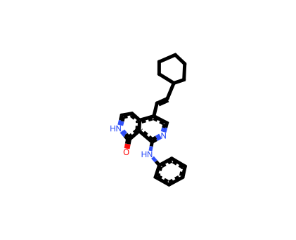 O=c1[nH]ccc2c(C=CC3CCCCC3)cnc(Nc3ccccc3)c12